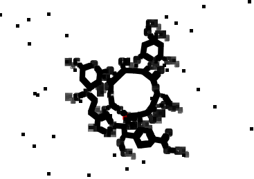 CC[C@H]1OC(=O)[C@H](C)[C@@H](O[C@H]2C[C@@](C)(OC)C[C@H](C)O2)[C@H](C)[C@@H](O[C@@H]2O[C@H](C)C[C@H](N(C)CCC3=CN([C@H](CF)[C@H](OC)c4ccc(C(=O)OC)cc4)NN3)[C@H]2O)[C@](C)(O)C[C@@H](C)CN(C)[C@H](C)[C@@H](O)[C@]1(C)O